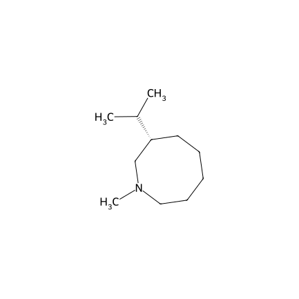 CC(C)[C@@H]1CCCCCN(C)C1